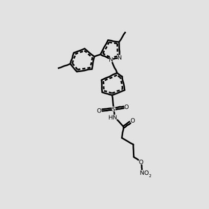 Cc1ccc(-c2cc(C)nn2-c2ccc(S(=O)(=O)NC(=O)CCCO[N+](=O)[O-])cc2)cc1